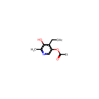 CCC(=O)Oc1cnc(C)c(O)c1COC(C)=O